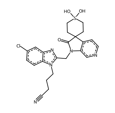 N#CCCCn1c(CN2C(=O)C3(CCS(O)(O)CC3)c3ccncc32)nc2cc(Cl)ccc21